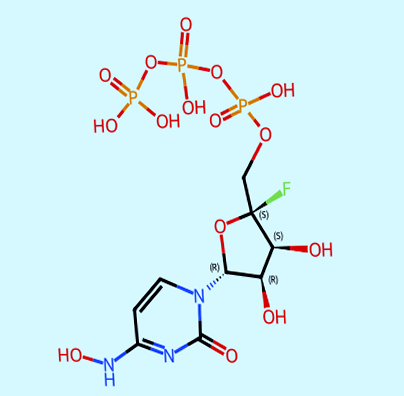 O=c1nc(NO)ccn1[C@@H]1O[C@](F)(COP(=O)(O)OP(=O)(O)OP(=O)(O)O)[C@@H](O)[C@H]1O